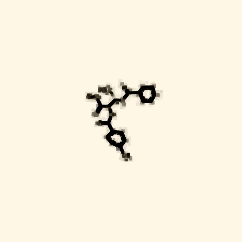 COC(=O)[C@H](OC(=O)c1ccc(C)cc1)[C@@H](OC(=O)c1ccccc1)C(=O)O